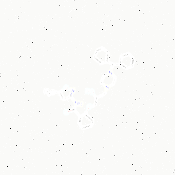 Cc1cc(NC(=O)c2ccccc2OCC(O)CN2CCN(C(c3ccccc3)c3ccccc3)CC2)no1